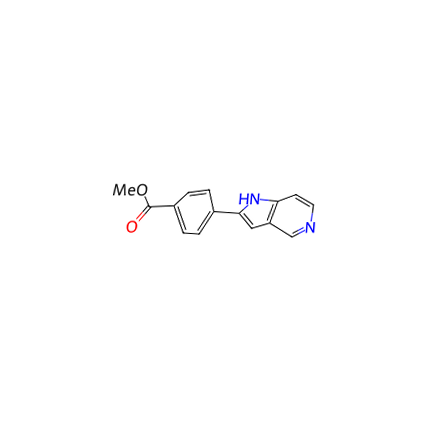 COC(=O)c1ccc(-c2cc3cnccc3[nH]2)cc1